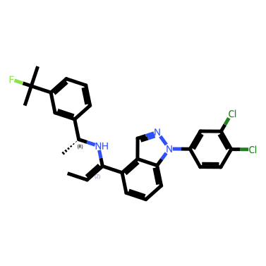 C/C=C(\N[C@H](C)c1cccc(C(C)(C)F)c1)c1cccc2c1cnn2-c1ccc(Cl)c(Cl)c1